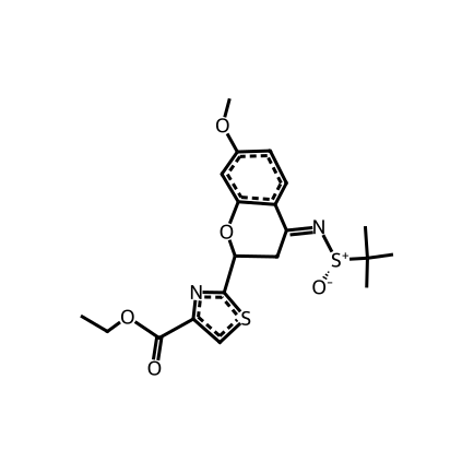 CCOC(=O)c1csc(C2CC(=N[S@@+]([O-])C(C)(C)C)c3ccc(OC)cc3O2)n1